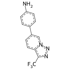 Nc1ccc(-c2ccc3c(C(F)(F)F)nnn3c2)cc1